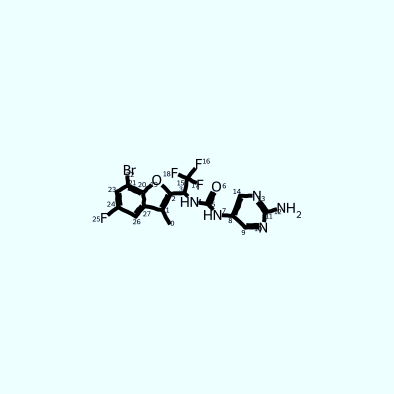 Cc1c(C(NC(=O)Nc2cnc(N)nc2)C(F)(F)F)oc2c(Br)cc(F)cc12